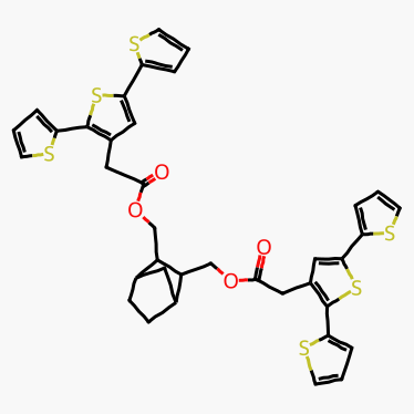 O=C(Cc1cc(-c2cccs2)sc1-c1cccs1)OCC1C2CCC(C2)C1COC(=O)Cc1cc(-c2cccs2)sc1-c1cccs1